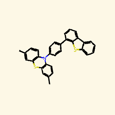 Cc1ccc2c(c1)Sc1cc(C)ccc1N2c1ccc(-c2cccc3c2sc2ccccc23)cc1